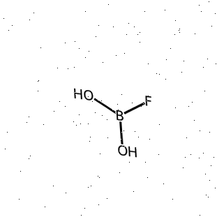 OB(O)F